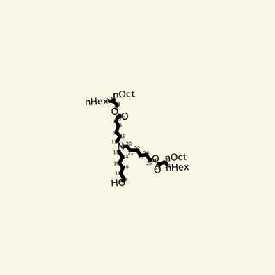 CCCCCCCCC(CCCCCC)COC(=O)CCCCCN(CCCCCCO)CCCCCCOC(=O)C(CCCCCC)CCCCCCCC